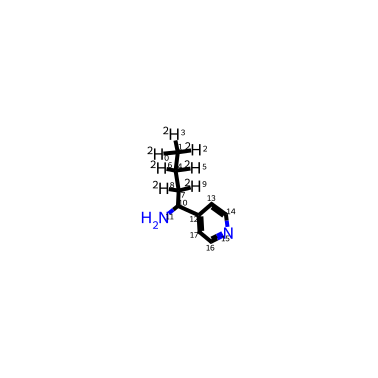 [2H]C([2H])([2H])C([2H])([2H])C([2H])([2H])C(N)c1ccncc1